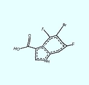 O=C(O)c1c[nH]c2cc(F)c(Br)c(F)c12